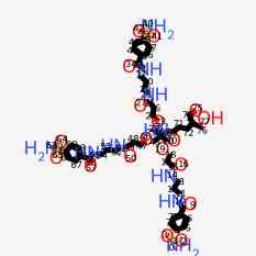 NS(=O)(=O)c1ccc(C(=O)NCCCNC(=O)CCOCC(COCCC(=O)NCCCNC(=O)c2ccc(S(N)(=O)=O)cc2)(COCCC(=O)NCCCNC(=O)c2ccc(S(N)(=O)=O)cc2)NC(=O)CCC(C=O)CO)cc1